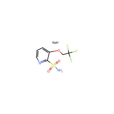 NS(=O)(=O)c1ncccc1OCC(F)(F)F.[NaH]